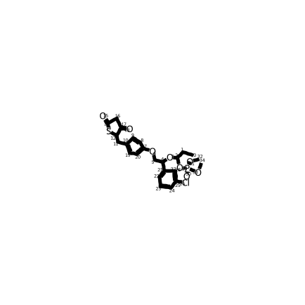 CCC(OC(COc1ccc(CC2SC(=O)CC2=O)cc1)c1cccc(Cl)c1)OP(=O)(OC)OC